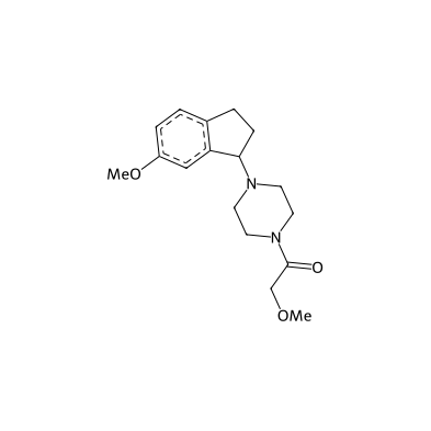 COCC(=O)N1CCN(C2CCc3ccc(OC)cc32)CC1